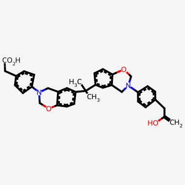 C=C(O)Cc1ccc(N2COc3ccc(C(C)(C)c4ccc5c(c4)CN(c4ccc(CC(=O)O)cc4)CO5)cc3C2)cc1